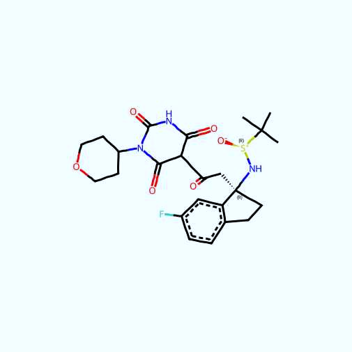 CC(C)(C)[S@+]([O-])N[C@@]1(CC(=O)C2C(=O)NC(=O)N(C3CCOCC3)C2=O)CCc2ccc(F)cc21